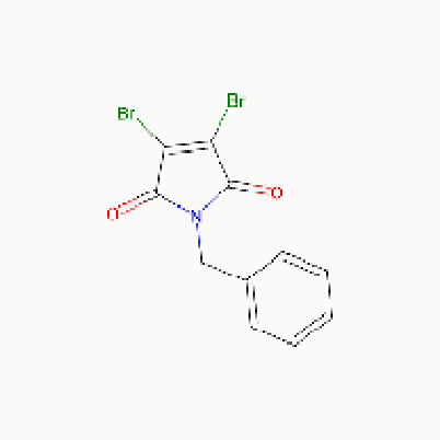 O=C1C(Br)=C(Br)C(=O)N1Cc1ccccc1